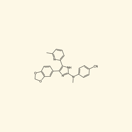 Cc1cccc(-c2[nH]c(N(C)c3ccc(C#N)cc3)nc2-c2ccc3c(c2)OCO3)n1